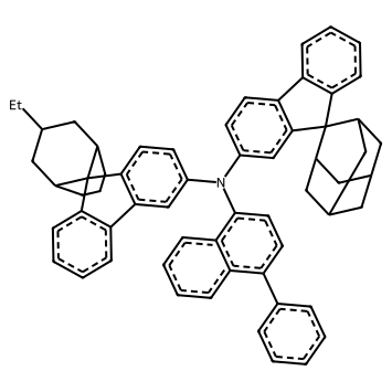 CCC1CC2CCCC(C1)C21c2ccccc2-c2cc(N(c3ccc4c(c3)C3(c5ccccc5-4)C4CC5CC(C4)CC3C5)c3ccc(-c4ccccc4)c4ccccc34)ccc21